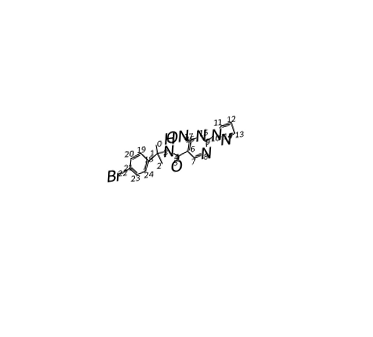 CC(C)(NC(=O)c1cnc(-n2cccn2)nc1N=O)c1ccc(Br)cc1